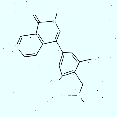 COc1cc(-c2cn(C)c(=O)c3cnccc23)cc(SC)c1CN(C)C